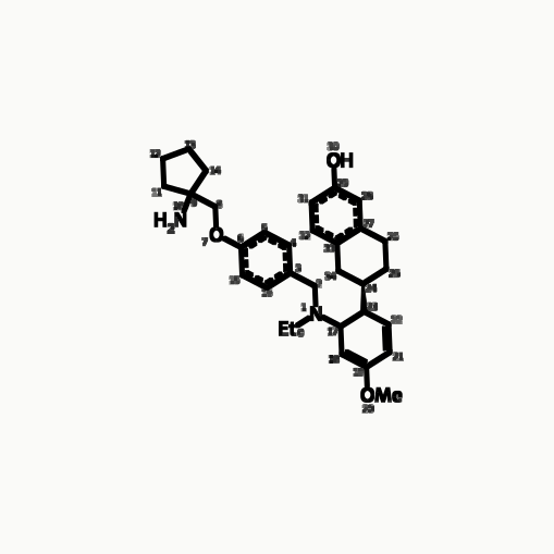 CCN(Cc1ccc(OCC2(N)CCCC2)cc1)C1C=C(OC)C=CC1[C@@H]1CCc2cc(O)ccc2C1